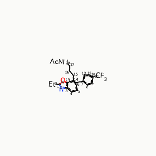 CCc1nc2ccc(-c3ccc(C(F)(F)F)cc3)c(CCCNC(C)=O)c2o1